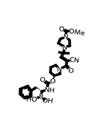 COC(=O)N1CCN(C(C)(C)/C=C(\C#N)C(=O)N2CCC[C@H](OC(=O)N[C@@H](Cc3ccccc3)B(O)O)C2)CC1